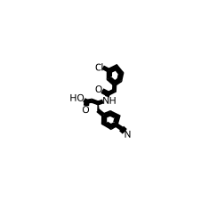 N#Cc1ccc(C[C@@H](CC(=O)O)NC(=O)Cc2cccc(Cl)c2)cc1